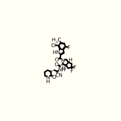 Cc1cc(F)c2cc(C(=O)N3C[C@H]4CC(F)(F)C[C@H]4[C@@H]3C(=O)N[C@@H](C#N)C[C@H]3CCCNC3=O)[nH]c2c1Cl